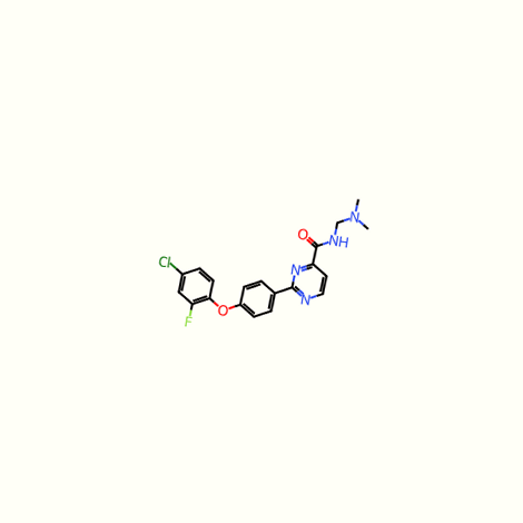 CN(C)CNC(=O)c1ccnc(-c2ccc(Oc3ccc(Cl)cc3F)cc2)n1